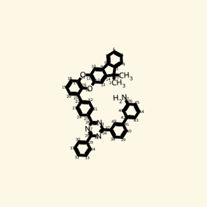 CC1(C)c2ccccc2-c2cc3c(cc21)Oc1c(cccc1-c1ccc(-c2nc(-c4ccccc4)nc(-c4cccc(-c5cccc(N)c5)c4)n2)cc1)O3